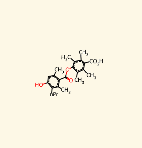 CCCc1c(O)cc(C)c(C(=O)Oc2c(C)c(C)c(C(=O)O)c(C)c2C)c1C